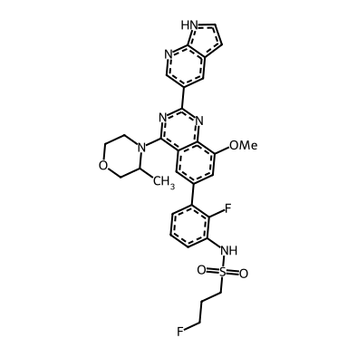 COc1cc(-c2cccc(NS(=O)(=O)CCCF)c2F)cc2c(N3CCOCC3C)nc(-c3cnc4[nH]ccc4c3)nc12